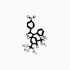 CC(C)(C)C1=CC2(C=C(C(C)(C)C)C1=O)ON=C(c1ccc([N+](=O)[O-])cc1)C2c1ccccc1